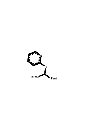 CCCCCC(CCCCC)Oc1ccccn1